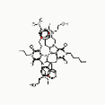 CCCCCn1c(=O)c2c(n(CCc3ccc(F)cc3F)c1=O)N(N1c3c(c(=O)n(CCC)c(=O)n3CCc3cccc([N+](=O)[O-])c3)N(CCN(CC)CCO)C1Cc1ccccc1)C(Cc1ccccc1)N2CCN(CC)CCO